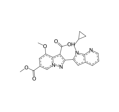 COC(=O)c1cc(OC)c2c(C(=O)O)c(-c3cc4cccnc4n3CC3CC3)nn2c1